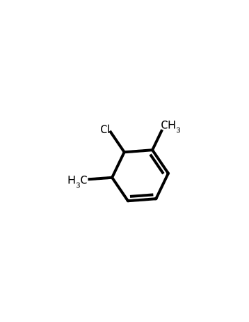 CC1=CC=CC(C)C1Cl